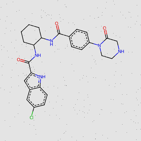 O=C(NC1CCCCC1NC(=O)c1cc2cc(Cl)ccc2[nH]1)c1ccc(N2CCNCC2=O)cc1